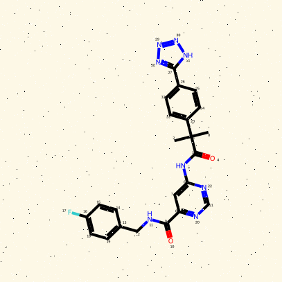 CC(C)(C(=O)Nc1cc(C(=O)NCc2ccc(F)cc2)ncn1)c1ccc(-c2nnn[nH]2)cc1